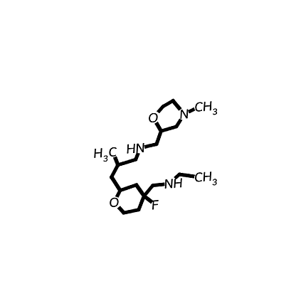 CCNCC1(F)CCOC(CC(C)CNCC2CN(C)CCO2)C1